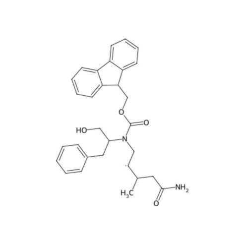 CC([CH]CN(C(=O)OCC1c2ccccc2-c2ccccc21)C(CO)Cc1ccccc1)CC(N)=O